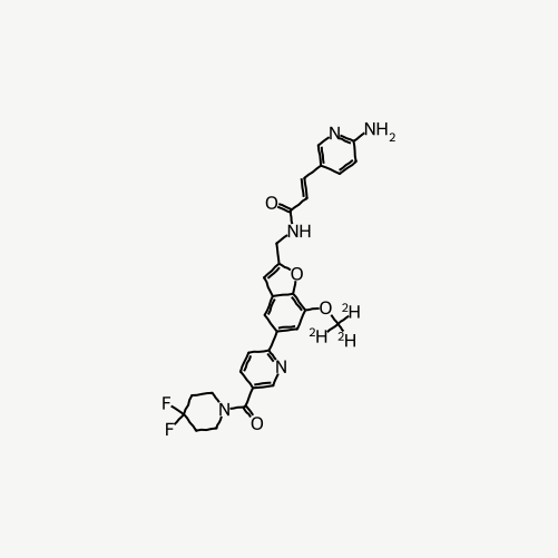 [2H]C([2H])([2H])Oc1cc(-c2ccc(C(=O)N3CCC(F)(F)CC3)cn2)cc2cc(CNC(=O)C=Cc3ccc(N)nc3)oc12